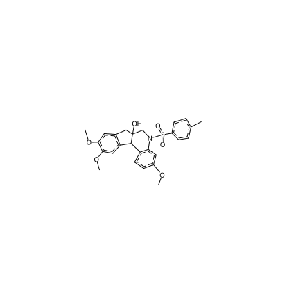 COc1ccc2c(c1)N(S(=O)(=O)c1ccc(C)cc1)CC1(O)Cc3cc(OC)c(OC)cc3C21